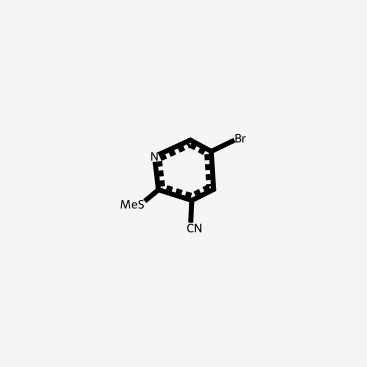 CSc1ncc(Br)cc1C#N